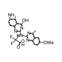 COc1ccc2nc(Nc3nc(O)c4cc(N)ccc4n3)nc(C)c2c1.O=C(O)C(F)(F)F